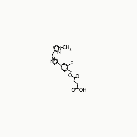 Cn1ccc(Cn2cc(-c3ccc(COC(=O)CCC(=O)O)c(F)c3)cn2)n1